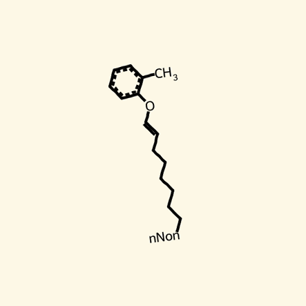 CCCCCCCCCCCCCCCC=COc1ccccc1C